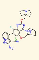 N#Cc1c(N)nn2cccc(-c3c(Cl)c4c5c(nc(OCC67CCCN6CCC7)nc5c3F)N3CC5CCC(N5)C3CO4)c12